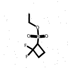 CCOS(=O)(=O)C1CCC1(F)F